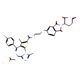 COC(=O)C[C@@H]1N=C(c2ccc(Cl)cc2)c2c(sc(C(=O)NCCNc3ccc4c(c3)C(=O)N(C3CCC(=O)NC3=O)C4=O)c2C)-n2c(C)nnc21